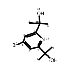 CC(C)(O)c1cc(Br)cc(C(C)(C)O)n1